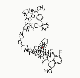 C#Cc1c(F)ccc2cc(O)cc(-c3ncc4c(N5CC6CCC(C5)N6C(=O)OC(C)(C)C)nc(OCCN5CCC(OC6CN(c7cc(CC(=O)N8CCCC8C(=O)NC(C)c8ccc(-c9scnc9C)cc8)on7)C6)CC5)nc4c3F)c12